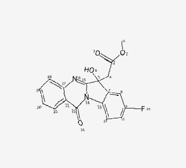 COC(=O)CC1(O)c2cc(F)ccc2-n2c1nc1ccccc1c2=O